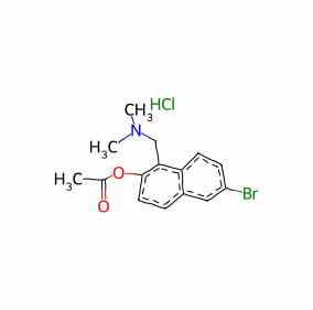 CC(=O)Oc1ccc2cc(Br)ccc2c1CN(C)C.Cl